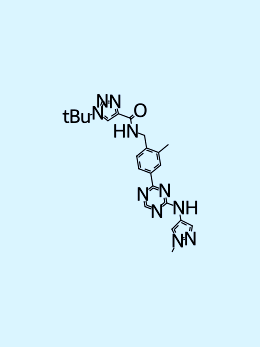 Cc1cc(-c2ncnc(Nc3cnn(C)c3)n2)ccc1CNC(=O)c1cn(C(C)(C)C)nn1